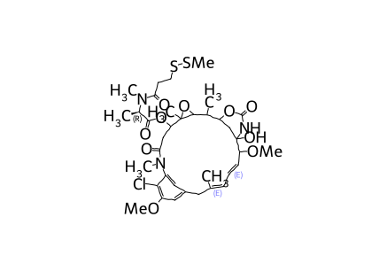 COc1cc2cc(c1Cl)N(C)C(=O)CC(OC(=O)[C@@H](C)N(C)C(=O)CCSSC)C1(C)OC1C(C)C1CC(O)(NC(=O)O1)C(OC)/C=C/C=C(\C)C2